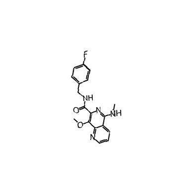 CNc1nc(C(=O)NCc2ccc(F)cc2)c(OC)c2ncccc12